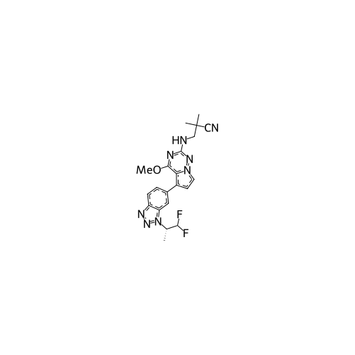 COc1nc(NCC(C)(C)C#N)nn2ccc(-c3ccc4nnn([C@@H](C)C(F)F)c4c3)c12